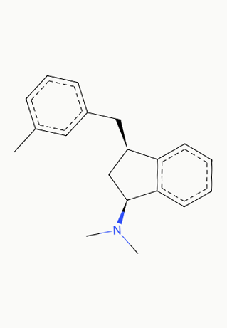 Cc1cccc(C[C@@H]2C[C@H](N(C)C)c3ccccc32)c1